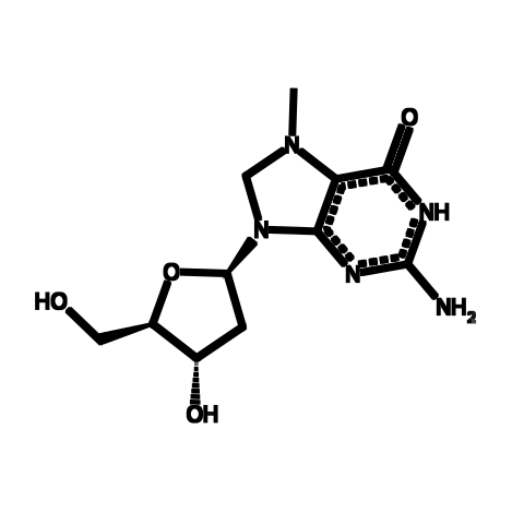 CN1CN([C@H]2C[C@H](O)[C@@H](CO)O2)c2nc(N)[nH]c(=O)c21